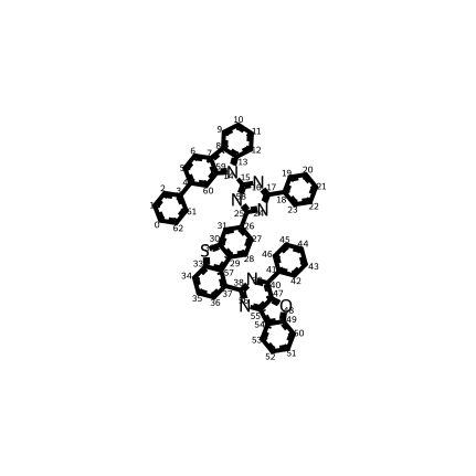 c1ccc(-c2ccc3c4ccccc4n(-c4nc(-c5ccccc5)nc(-c5ccc6c(c5)sc5cccc(-c7nc(-c8ccccc8)c8oc9ccccc9c8n7)c56)n4)c3c2)cc1